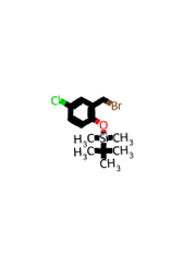 CC(C)(C)[Si](C)(C)Oc1ccc(Cl)cc1CBr